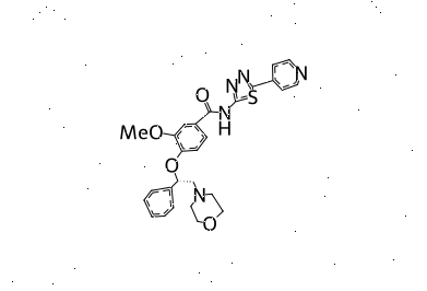 COc1cc(C(=O)Nc2nnc(-c3ccncc3)s2)ccc1O[C@H](CN1CCOCC1)c1ccccc1